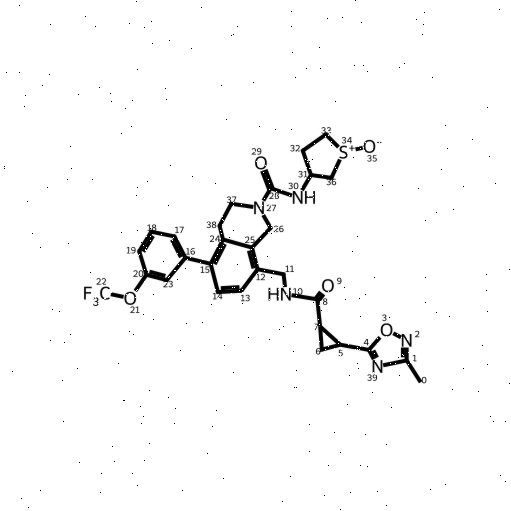 Cc1noc(C2CC2C(=O)NCc2ccc(-c3cccc(OC(F)(F)F)c3)c3c2CN(C(=O)NC2CC[S+]([O-])C2)CC3)n1